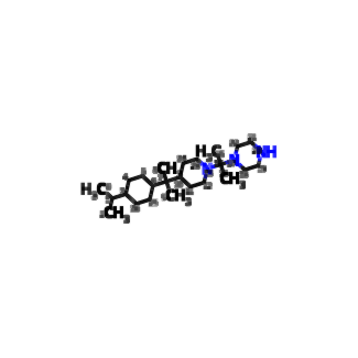 CC(C)C1CCC(C(C)(C)C2CCN(C(C)(C)N3CCNCC3)CC2)CC1